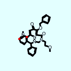 COCCN1CN(C(c2ccccc2)c2ccccc2)n2c(CN(C)C)cc(=O)c(OCc3ccccc3)c2C1=O